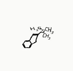 C[Si](C)(C)C1Cc2ccccc2C1